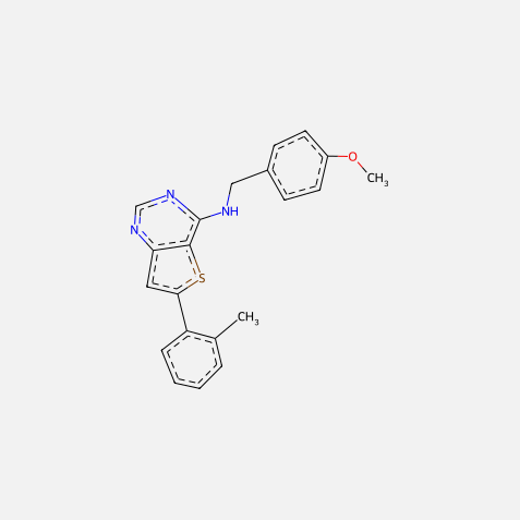 COc1ccc(CNc2ncnc3cc(-c4ccccc4C)sc23)cc1